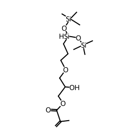 C=C(C)C(=O)OCC(O)COCCC[SiH](O[Si](C)(C)C)O[Si](C)(C)C